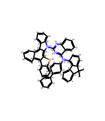 CC1(C)c2ccccc2-c2c(N(c3ccc(-c4ccccc4)cc3)c3nc(-n4c5ccccc5c5c6ccccc6c6c7ccccc7sc6c54)nc4ccccc34)cccc21